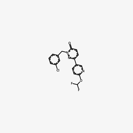 O=c1ccc(-c2ccc(OC(F)F)nc2)nn1Cc1cccc(Cl)c1